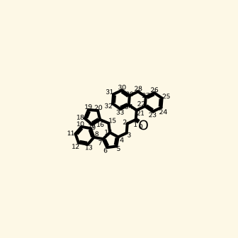 O=C(CCC1=CC=C(c2ccccc2)C1CC1=CC=CC1)C1c2ccccc2Cc2ccccc21